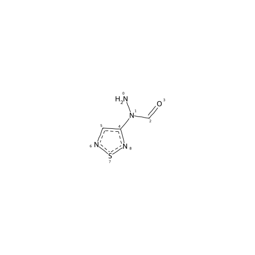 NN(C=O)c1cnsn1